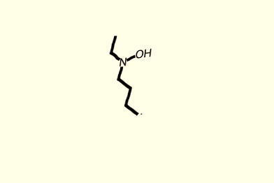 [CH2]CCCN(O)CC